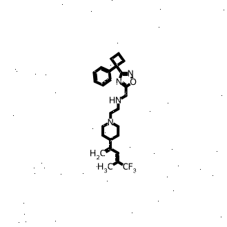 C=C(/C=C(\C)C(F)(F)F)C1CCN(CCNCc2nc(C3(c4ccccc4)CCC3)no2)CC1